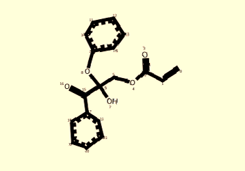 C=CC(=O)OCC(O)(Oc1ccccc1)C(=O)c1ccccc1